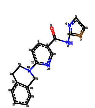 O=C(Nc1nccs1)c1ccc(N2CCc3ccccc3C2)nc1